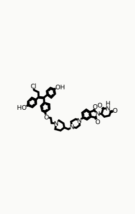 O=C1CCC(N2C(=O)c3ccc(N4CCN(CC5CCN(CCOc6ccc(C(=C(CCCl)c7ccc(O)cc7)c7ccc(O)cc7)cc6)CC5)CC4)cc3C2=O)C(=O)N1